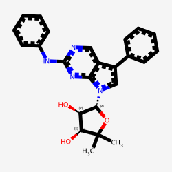 CC1(C)O[C@@H](n2cc(-c3ccccc3)c3cnc(Nc4ccccc4)nc32)[C@H](O)[C@@H]1O